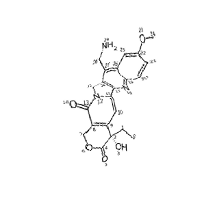 CC[C@@]1(O)C(=O)OCc2c1cc1n(c2=O)Cc2c-1nc1ccc(OC)cc1c2CN